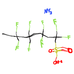 CC(F)(F)C(F)(F)C(F)(F)C(F)(F)S(=O)(=O)O.N